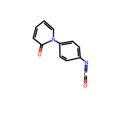 O=C=Nc1ccc(-n2ccccc2=O)cc1